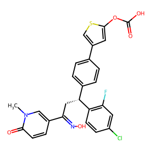 Cn1cc(/C(C[C@H](c2ccc(-c3csc(OC(=O)O)c3)cc2)c2ccc(Cl)cc2F)=N/O)ccc1=O